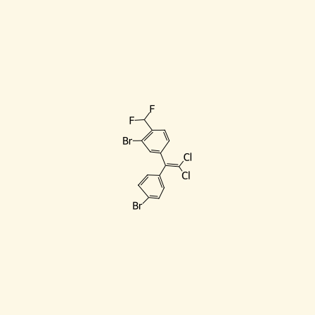 FC(F)c1ccc(C(=C(Cl)Cl)c2ccc(Br)cc2)cc1Br